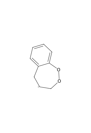 [C]1COOc2ccccc2C1